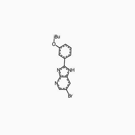 CCC(C)Oc1cccc(-c2nc3ncc(Br)cc3[nH]2)c1